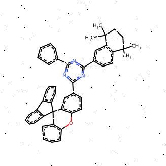 CC1(C)CCC(C)(C)c2cc(-c3nc(-c4ccccc4)nc(-c4ccc5c(c4)C4(c6ccccc6O5)c5ccccc5-c5ccccc54)n3)ccc21